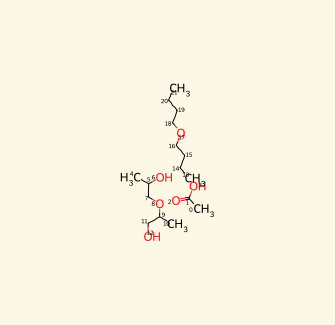 CC(=O)O.CC(O)COC(C)CO.CCCCOCCCC